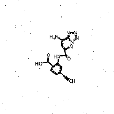 C#Cc1ccc(C(=O)O)c(NC(=O)c2cc(N)c3nnnn3n2)c1